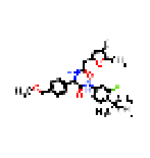 COCc1ccc(C(NC(=O)CC2C=C(C)C(C)O2)C(=O)Nc2ccc(C(C)(C)C)c(F)c2)cc1